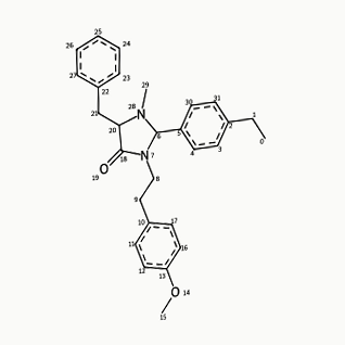 CCc1ccc(C2N(CCc3ccc(OC)cc3)C(=O)C(Cc3ccccc3)N2C)cc1